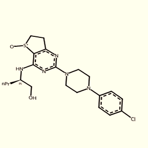 CCC[C@H](CO)Nc1nc(N2CCN(c3ccc(Cl)cc3)CC2)nc2c1[S+]([O-])CC2